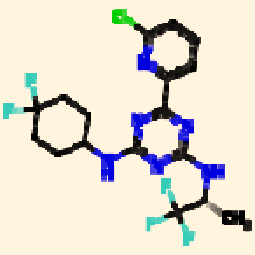 C[C@@H](Nc1nc(NC2CCC(F)(F)CC2)nc(-c2cccc(Cl)n2)n1)C(F)(F)F